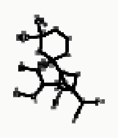 CCOC(OCC)[C@@H]1C2(C(F)F)CC1(C1(O)CCCC(C)(C)C1)C2